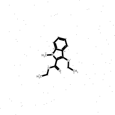 CCOC(=O)c1c(OCC)c2ccccc2n1C